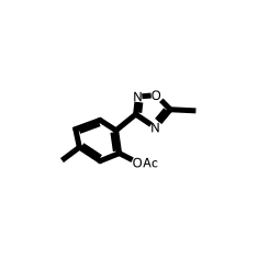 CC(=O)Oc1cc(C)ccc1-c1noc(C)n1